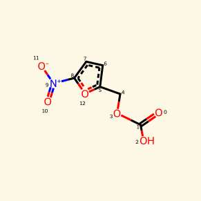 O=C(O)OCc1ccc([N+](=O)[O-])o1